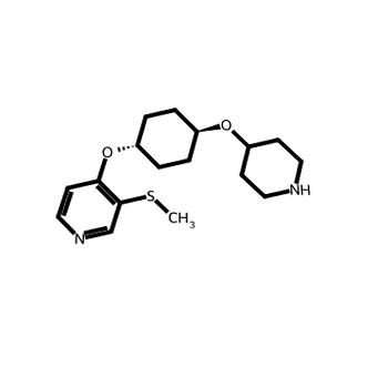 CSc1cnccc1O[C@H]1CC[C@H](OC2CCNCC2)CC1